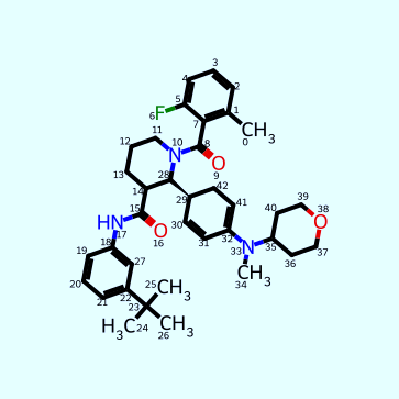 Cc1cccc(F)c1C(=O)N1CCCC(C(=O)Nc2cccc(C(C)(C)C)c2)C1[C@@H]1C=CC(N(C)C2CCOCC2)=CC1